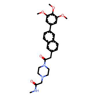 CNC(=O)CN1CCN(C(=O)Cc2ccc3cc(-c4cc(OC)c(OC)c(OC)c4)ccc3c2)CC1